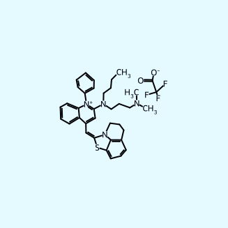 CCCCN(CCCN(C)C)c1cc(C=C2Sc3cccc4c3N2CCC4)c2ccccc2[n+]1-c1ccccc1.O=C([O-])C(F)(F)F